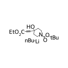 CCOC(=O)C#CC1(O)CCN(C(=O)OC(C)(C)C)CC1.[Li][CH2]CCC